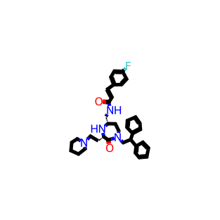 O=C(/C=C/c1ccc(F)cc1)NC[C@@H]1CCN(CC(c2ccccc2)c2ccccc2)C(=O)[C@H](CCN2CCCCC2)N1